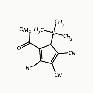 COC(=O)C1=C(C#N)C(C#N)=C(C#N)C1[Si](C)(C)C